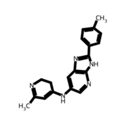 CC1=NCCC(Nc2cnc3[nH]c(-c4ccc(C)cc4)nc3c2)=C1